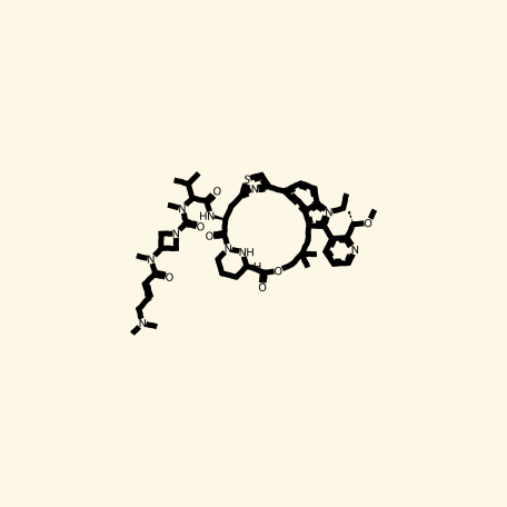 CCn1c(-c2cccnc2[C@H](C)OC)c2c3cc(ccc31)-c1csc(n1)C[C@H](NC(=O)C(C(C)C)N(C)C(=O)N1CC(N(C)C(=O)/C=C/CN(C)C)C1)C(=O)N1CCC[C@H](N1)C(=O)OCC(C)(C)C2